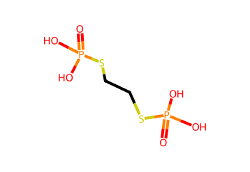 O=P(O)(O)SCCSP(=O)(O)O